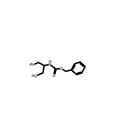 CC(C)CC(CO)NC(=O)OCc1ccccc1